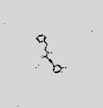 Cc1cccc(C#CC(=O)NCCc2ccccc2)c1